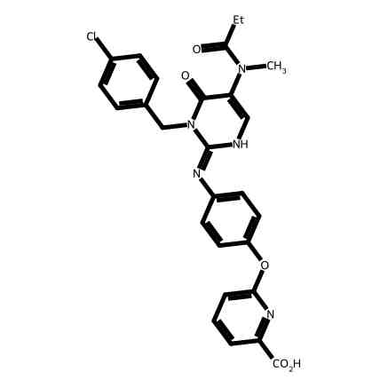 CCC(=O)N(C)c1c[nH]/c(=N\c2ccc(Oc3cccc(C(=O)O)n3)cc2)n(Cc2ccc(Cl)cc2)c1=O